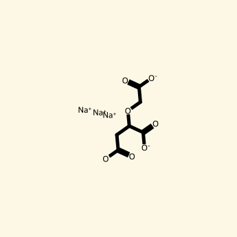 O=C([O-])COC(CC(=O)[O-])C(=O)[O-].[Na+].[Na+].[Na+]